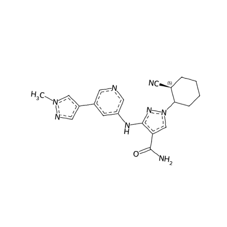 Cn1cc(-c2cncc(Nc3nn(C4CCCC[C@@H]4C#N)cc3C(N)=O)c2)cn1